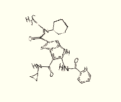 CN(C(=O)c1cc2[nH]c(NC(=O)c3ccccn3)c(C(=O)NC3CC3)c2s1)C1CCCCC1